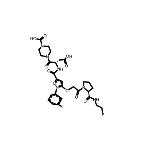 O=C(O)C[C@H](NC(=O)c1cc(OCC(=O)N2CCC[C@H]2C(=O)NCCF)n(-c2cccc(F)c2)n1)C(=O)N1CCN(C(=O)O)CC1